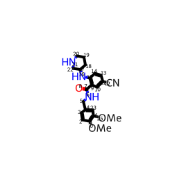 COc1ccc(CNC(=O)c2cc(C#N)ccc2NC2CCCNC2)cc1OC